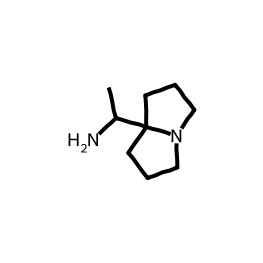 CC(N)C12CCCN1CCC2